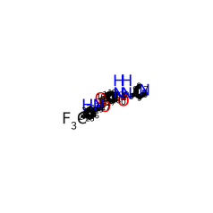 O=C(NCc1ccncc1)Nc1ccc(S(=O)(=O)NCc2ccc(C(F)(F)F)cc2)cc1